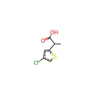 CC(C(=O)O)c1cc(Cl)cs1